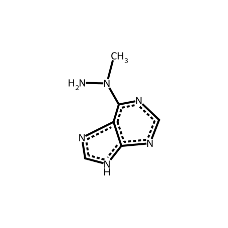 CN(N)c1ncnc2[nH]cnc12